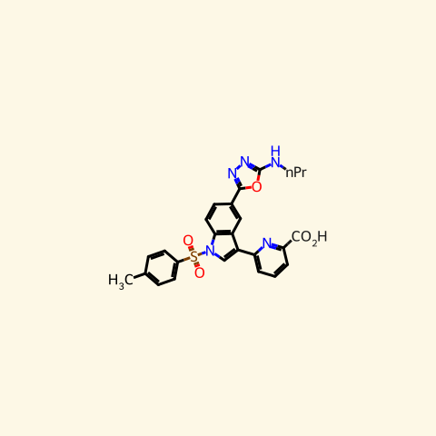 CCCNc1nnc(-c2ccc3c(c2)c(-c2cccc(C(=O)O)n2)cn3S(=O)(=O)c2ccc(C)cc2)o1